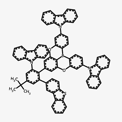 CC(C)(C)c1cc(-c2ccc3sc4ccccc4c3c2)c(-c2cc3c4c(c2)Oc2cc(-n5c6ccccc6c6ccccc65)ccc2B4c2ccc(-n4c5ccccc5c5ccccc54)cc2O3)c(-n2c3ccccc3c3ccccc32)c1